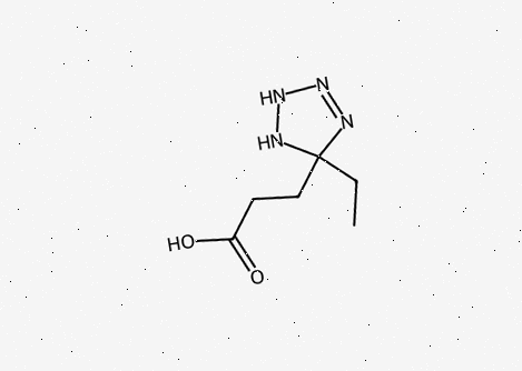 CCC1(CCC(=O)O)N=NNN1